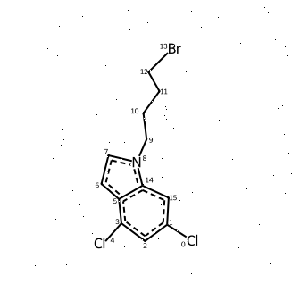 Clc1cc(Cl)c2ccn(CCCCBr)c2c1